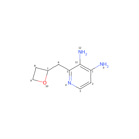 Nc1ccnc(CC2CCO2)c1N